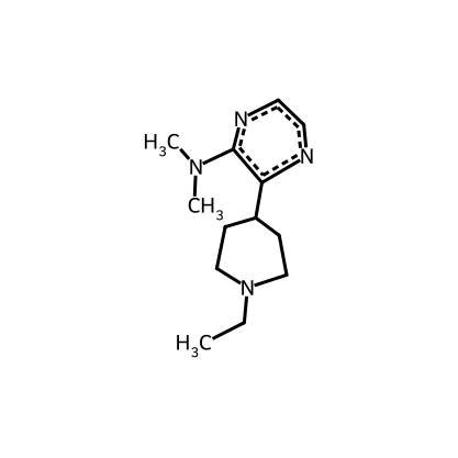 CCN1CCC(c2nccnc2N(C)C)CC1